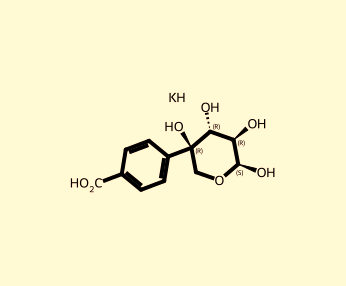 O=C(O)c1ccc([C@@]2(O)CO[C@H](O)[C@H](O)[C@H]2O)cc1.[KH]